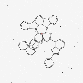 c1ccc(-c2nc(-c3cccc4nc(-c5ccccc5)sc34)nc(-n3c4ccccc4c4ccc5c6ccccc6n(-c6cccc(-c7cccc8ccccc78)c6)c5c43)n2)cc1